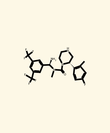 Cc1cc(F)ccc1[C@H]1CNCCN1C(=O)N(C)[C@H](N)c1cc(C(F)(F)F)cc(C(F)(F)F)c1